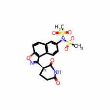 CS(=O)(=O)N(c1ccc2c(ccc3onc([C@@H]4CCC(=O)NC4=O)c32)c1)S(C)(=O)=O